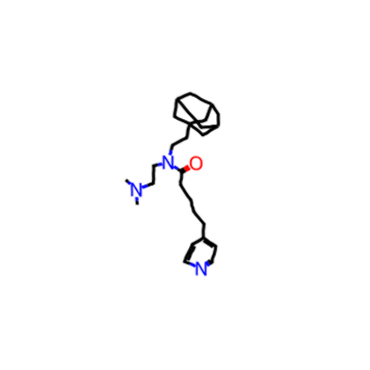 CN(C)CCN(CCC12CC3CC(CC(C3)C1)C2)C(=O)CCCCc1ccncc1